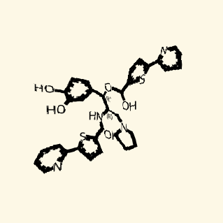 Oc1ccc([C@@H](OC(O)c2ccc(-c3ccccn3)s2)[C@@H](CN2CCCC2)NC(O)c2ccc(-c3ccccn3)s2)cc1O